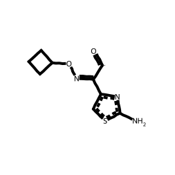 Nc1nc(C([C]=O)=NOC2CCC2)cs1